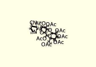 CC(=O)OC[C@H]1O[C@H](c2cc(C#N)ccn2)[C@H](OC(C)=O)[C@@H](OC(C)=O)[C@@H]1O[C@H]1O[C@H](COC(C)=O)[C@@H](OC(C)=O)[C@H](OC(C)=O)[C@H]1OC(C)=O